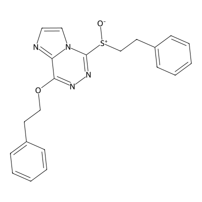 [O-][S+](CCc1ccccc1)c1nnc(OCCc2ccccc2)c2nccn12